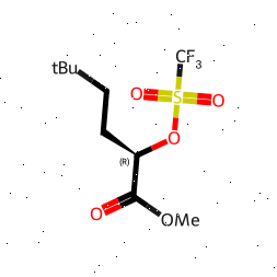 COC(=O)[C@@H](CCC(C)(C)C)OS(=O)(=O)C(F)(F)F